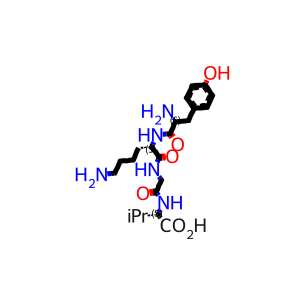 CC(C)[C@H](NC(=O)CNC(=O)[C@H](CCCCN)NC(=O)[C@@H](N)Cc1ccc(O)cc1)C(=O)O